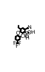 CCc1cc(C#N)c([PH](=O)O)cc1Oc1ccc(C(F)(F)F)cc1Cl